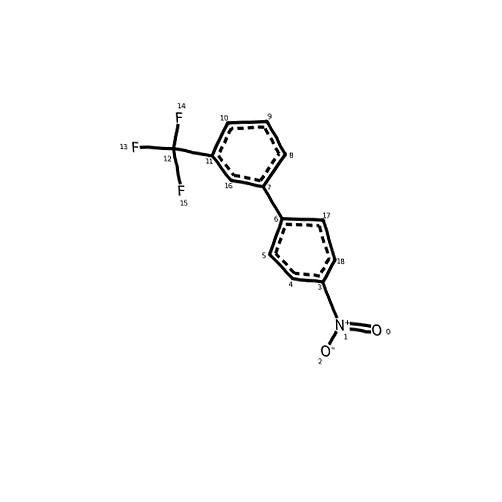 O=[N+]([O-])c1ccc(-c2cccc(C(F)(F)F)c2)cc1